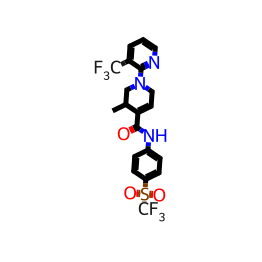 CC1CN(c2ncccc2C(F)(F)F)CC=C1C(=O)Nc1ccc(S(=O)(=O)C(F)(F)F)cc1